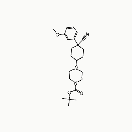 COc1cccc(C2(C#N)CCC(N3CCN(C(=O)OC(C)(C)C)CC3)CC2)c1